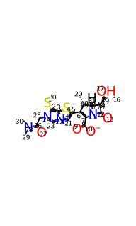 CSc1c2sc(C3=C(C(=O)[O-])N4C(=O)[C@H]([C@@H](C)O)[C@H]4[C@H]3C)c[n+]2cn1CC(=O)N(C)C